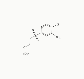 Nc1cc(S(=O)(=O)CCOS(=O)(=O)O)ccc1Cl